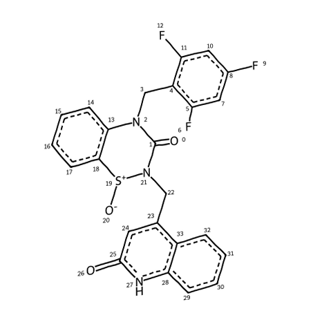 O=C1N(Cc2c(F)cc(F)cc2F)c2ccccc2[S+]([O-])N1Cc1cc(=O)[nH]c2ccccc12